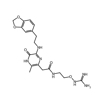 Cc1[nH]c(=O)c(NCCc2ccc3c(c2)OCO3)nc1CC(=O)NCCONC(=N)N